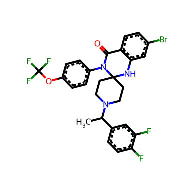 CC(c1ccc(F)c(F)c1)N1CCC2(CC1)Nc1cc(Br)ccc1C(=O)N2c1ccc(OC(F)(F)F)cc1